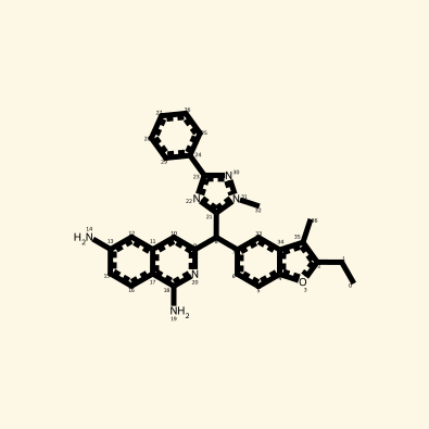 CCc1oc2ccc(C(c3cc4cc(N)ccc4c(N)n3)c3nc(-c4ccccc4)nn3C)cc2c1C